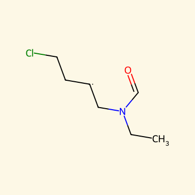 CCN(C=O)C[CH]CCCl